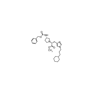 COC(=O)[C@H](Cc1cn(CCCC2CCCCC2)cn1)N1CC[C@H](NC(=O)OCc2ccccc2)C1